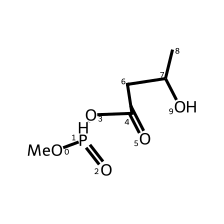 CO[PH](=O)OC(=O)CC(C)O